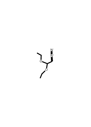 CCOC(C=[N+]=[N-])OCC